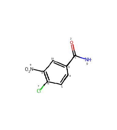 [NH]C(=O)c1ccc(Cl)c([N+](=O)[O-])c1